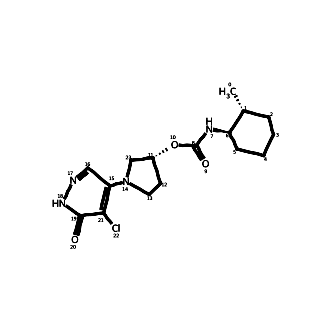 C[C@@H]1CCCC[C@H]1NC(=O)O[C@@H]1CCN(c2cn[nH]c(=O)c2Cl)C1